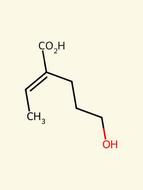 CC=C(CCCO)C(=O)O